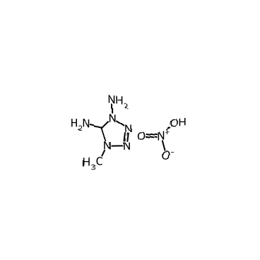 CN1N=NN(N)C1N.O=[N+]([O-])O